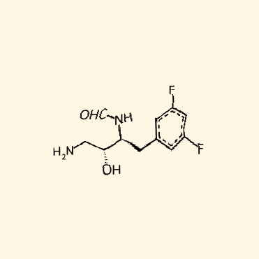 NC[C@@H](O)[C@H](Cc1cc(F)cc(F)c1)NC=O